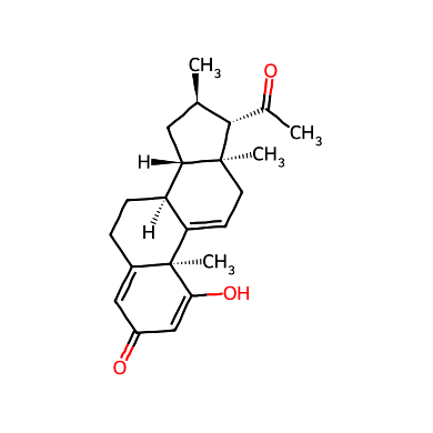 CC(=O)[C@H]1[C@H](C)C[C@H]2[C@@H]3CCC4=CC(=O)C=C(O)[C@]4(C)C3=CC[C@@]21C